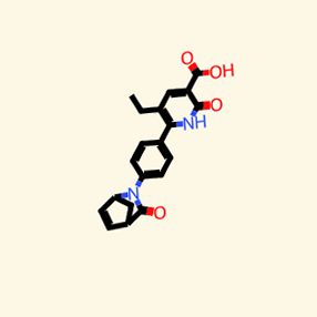 CCc1cc(C(=O)O)c(=O)[nH]c1-c1ccc(N2C(=O)C3C=CC2C3)cc1